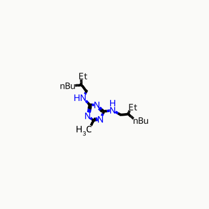 CCCCC(CC)CNc1nc(C)nc(NCC(CC)CCCC)n1